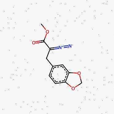 COC(=O)C(Cc1ccc2c(c1)OCO2)=[N+]=[N-]